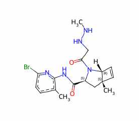 CNNCC(=O)N1[C@H](C(=O)Nc2nc(Br)ccc2C)C[C@@]2(C)C=C[C@@H]12